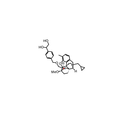 CO[C@]12CC[C@@]3(C[C@@H]1COCc1ccc(C(O)CO)cc1)[C@H]1Cc4ccc(C)c5c4[C@@]3(CCN1CC1CC1)[C@H]2O5